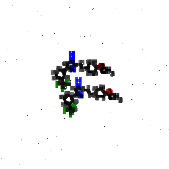 COc1ccc(/C=C/c2nc(-c3cccc(C(F)(F)F)c3)c[nH]2)cc1.COc1ccc(/C=C/c2nc(-c3cccc(C(F)(F)F)c3)c[nH]2)cc1